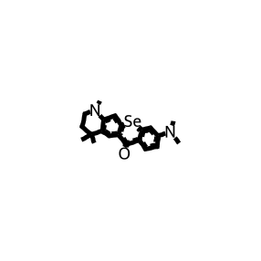 CN(C)c1ccc2c(=O)c3cc4c(cc3[se]c2c1)N(C)CCC4(C)C